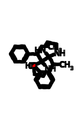 CCC(c1ccccc1)C1(C2(C(C)c3ccccc3Cl)NCCN2)NCCN1